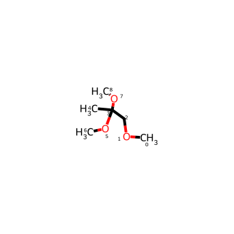 COCC(C)(OC)OC